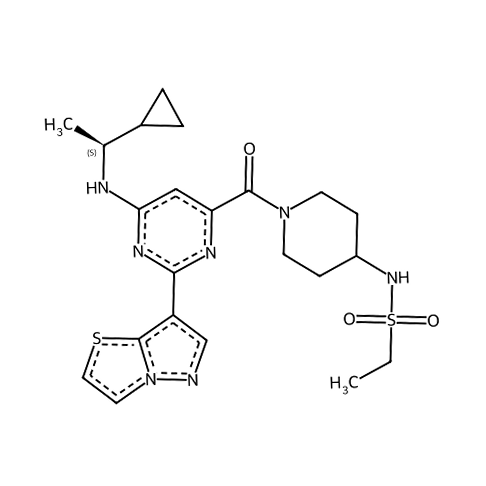 CCS(=O)(=O)NC1CCN(C(=O)c2cc(N[C@@H](C)C3CC3)nc(-c3cnn4ccsc34)n2)CC1